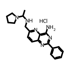 CC(NCc1ccc2nc(-c3ccccc3)nc(N)c2n1)N1CCCC1.Cl